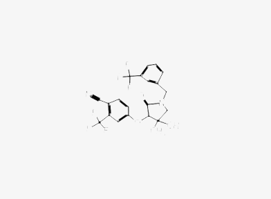 CC1(C)CN(Cc2cccc(C(F)(F)F)c2)C(=O)C1Oc1ccc(C#N)c(C(F)(F)F)c1